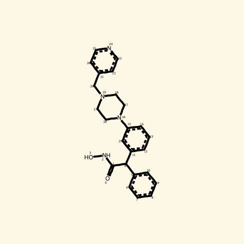 O=C(NO)C(c1ccccc1)c1cccc(N2CCN(Cc3ccncc3)CC2)c1